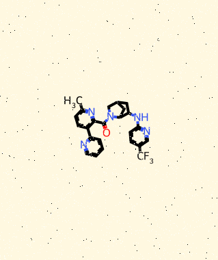 Cc1ccc(-c2ccccn2)c(C(=O)N2CC3CC(Nc4ccc(C(F)(F)F)cn4)C2C3)n1